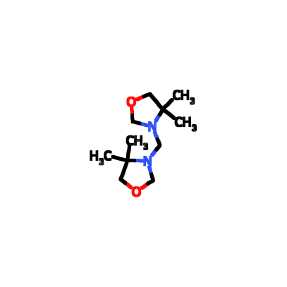 CC1(C)COCN1CN1COCC1(C)C